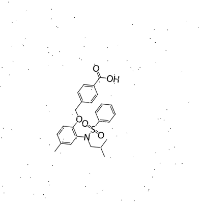 Cc1ccc(OCc2ccc(C(=O)O)cc2)c(N(CC(C)C)S(=O)(=O)c2ccccc2)c1